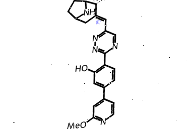 COc1cc(-c2ccc(-c3ncc(/C=C4\CC5CCC(N5)[C@@H]4F)nn3)c(O)c2)ccn1